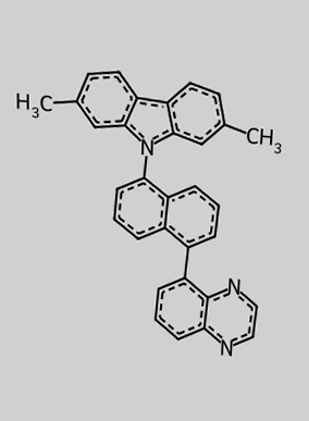 Cc1ccc2c3ccc(C)cc3n(-c3cccc4c(-c5cccc6nccnc56)cccc34)c2c1